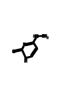 BNc1cc[nH]c(=O)n1